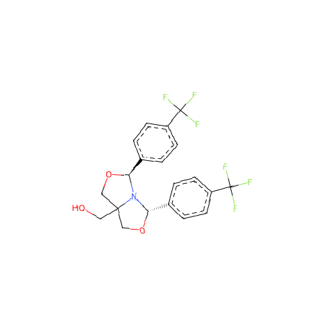 OCC12CO[C@@H](c3ccc(C(F)(F)F)cc3)N1[C@H](c1ccc(C(F)(F)F)cc1)OC2